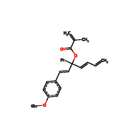 C=CC=CC(C=Cc1ccc(OC(C)(C)C)cc1)(OC(=O)C(=C)C)C(C)C